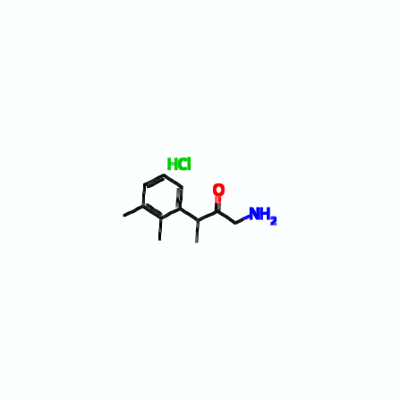 Cc1cccc(C(C)C(=O)CN)c1C.Cl